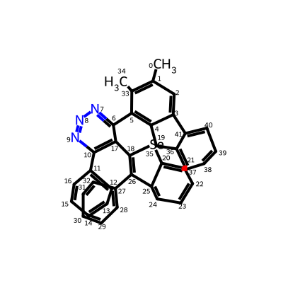 Cc1cc2c(c(-c3nnnc(-c4ccccc4)c3-c3[se]c4ccccc4c3-c3ccccc3)c1C)Cc1ccccc1-2